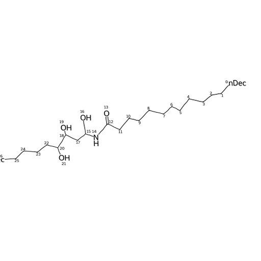 CCCCCCCCCCCCCCCCCCCCCC(=O)NC(O)CC(O)C(O)CCCCCCCCCCCCCC